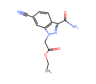 CCOC(=O)Cn1nc(C(N)=O)c2ccc(C#N)cc21